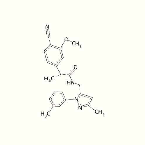 COc1cc(C(C)C(=O)NCc2cc(C)nn2-c2cccc(C)c2)ccc1C#N